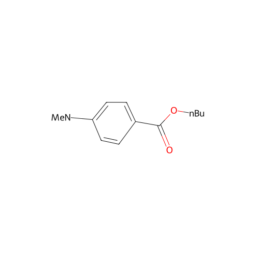 CCCCOC(=O)c1ccc(NC)cc1